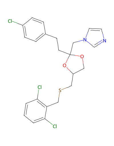 Clc1ccc(CCC2(Cn3ccnc3)OCC(CSCc3c(Cl)cccc3Cl)O2)cc1